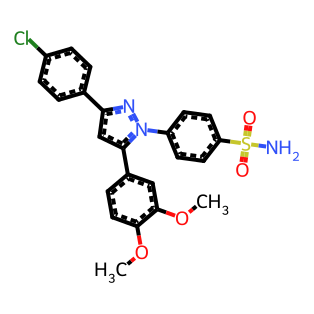 COc1ccc(-c2cc(-c3ccc(Cl)cc3)nn2-c2ccc(S(N)(=O)=O)cc2)cc1OC